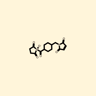 O=C1C=CC(=O)N1CC1CCC(C(=O)[N+]2([O-])C(=O)CCC2=O)CC1